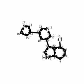 Clc1cccc2[nH]cc(-c3cncc(-c4ccsc4)c3)c12